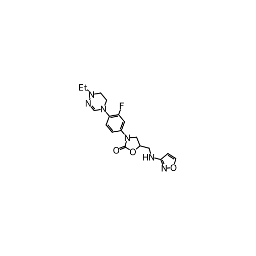 CCN1CCN(c2ccc(N3CC(CNc4ccon4)OC3=O)cc2F)C=N1